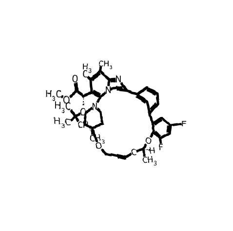 COC(=O)[C@@H](OC(C)(C)C)c1c(C)c(C)c2nc3cn2c1N1CCC(C)(CC1)OC/C=C\C[C@H](C)Oc1c(F)cc(F)cc1-c1cccc-3c1